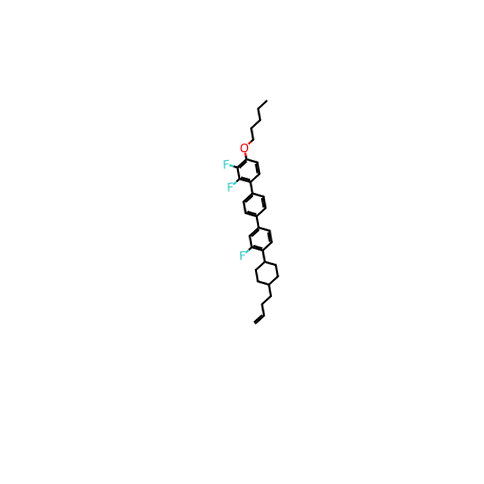 C=CCCC1CCC(c2ccc(-c3ccc(-c4ccc(OCCCCC)c(F)c4F)cc3)cc2F)CC1